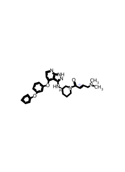 CN(C)C/C=C/C(=O)N1CCC[C@@H](Nc2n[nH]c3nccc(Oc4cccc(Oc5ccccc5)c4)c23)C1